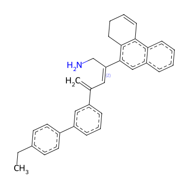 C=C(/C=C(\CN)c1cc2ccccc2c2c1CCC=C2)c1cccc(-c2ccc(CC)cc2)c1